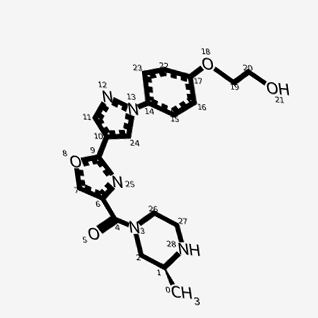 C[C@H]1CN(C(=O)c2coc(-c3cnn(-c4ccc(OCCO)cc4)c3)n2)CCN1